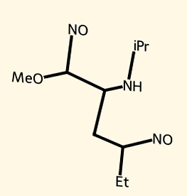 CCC(CC(NC(C)C)C(N=O)OC)N=O